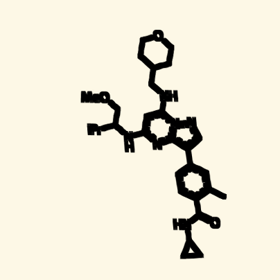 COCC(Nc1cc(NCC2CCOCC2)n2ncc(-c3ccc(C(=O)NC4CC4)c(C)c3)c2n1)C(C)C